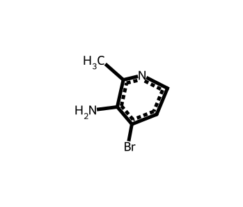 Cc1nccc(Br)c1N